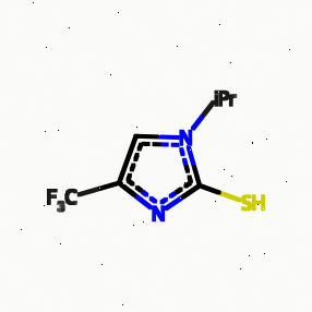 CC(C)n1cc(C(F)(F)F)nc1S